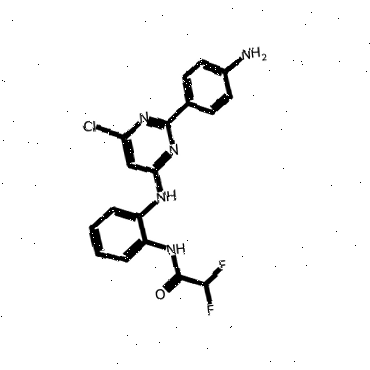 Nc1ccc(-c2nc(Cl)cc(Nc3ccccc3NC(=O)C(F)F)n2)cc1